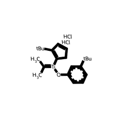 C[C](C)=[Ti]([O]c1cccc(C(C)(C)C)c1)[C]1=C(C(C)(C)C)C=CC1.Cl.Cl